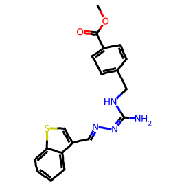 COC(=O)c1ccc(CNC(N)=NN=Cc2csc3ccccc23)cc1